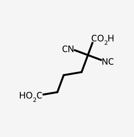 [C-]#[N+]C(CCCC(=O)O)([N+]#[C-])C(=O)O